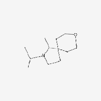 CC(C)N1CCC2(CCOCC2)C1C